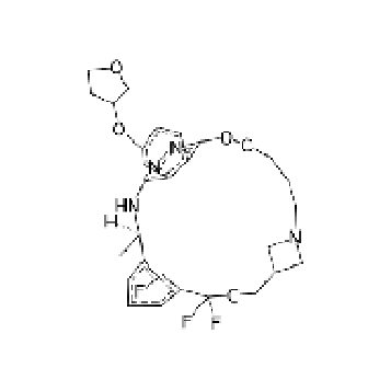 C[C@H]1Nc2nnc(c3ccc(OC4CCOC4)cc23)OCCCCN2CC(CCC(F)(F)c3cccc1c3F)C2